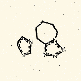 C1CCc2nnnn2CC1.c1cscn1